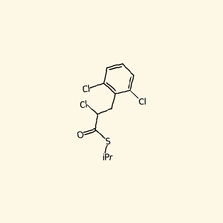 CC(C)SC(=O)C(Cl)Cc1c(Cl)cccc1Cl